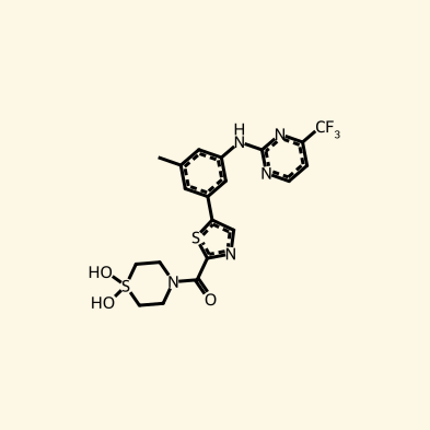 Cc1cc(Nc2nccc(C(F)(F)F)n2)cc(-c2cnc(C(=O)N3CCS(O)(O)CC3)s2)c1